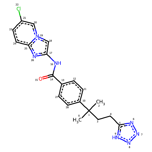 CC(C)(CCc1nnn[nH]1)c1ccc(C(=O)Nc2cn3cc(Cl)ccc3n2)cc1